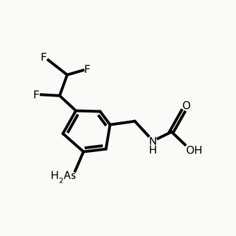 O=C(O)NCc1cc([AsH2])cc(C(F)C(F)F)c1